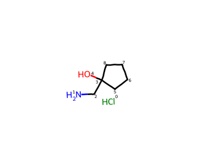 Cl.NCC1(O)CCCC1